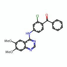 COc1cc2ncnc(Nc3ccc(C(=O)c4ccccc4)c(Cl)c3)c2cc1OC